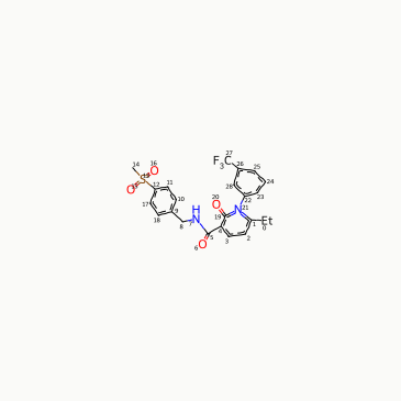 CCc1ccc(C(=O)NCc2ccc(S(C)(=O)=O)cc2)c(=O)n1-c1cccc(C(F)(F)F)c1